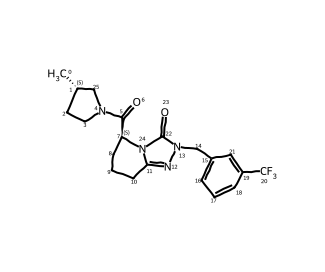 C[C@H]1CCN(C(=O)[C@@H]2CCCc3nn(Cc4cccc(C(F)(F)F)c4)c(=O)n32)C1